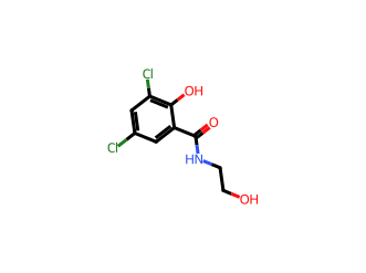 O=C(NCCO)c1cc(Cl)cc(Cl)c1O